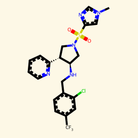 Cn1cnc(S(=O)(=O)N2C[C@@H](NCc3ccc(C(F)(F)F)cc3Cl)[C@H](c3ccccn3)C2)c1